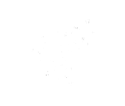 [2H]c1c(C([2H])([2H])S(=O)(=O)N([2H])C([2H])([2H])[2H])c([2H])c2c(C([2H])([2H])CN(C)C)cn([2H])c2c1[2H]